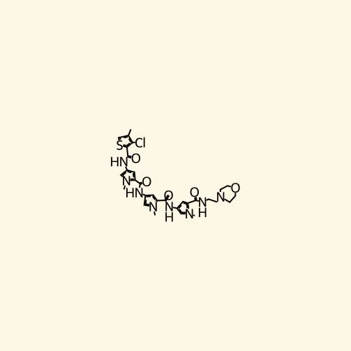 Cc1csc(C(=O)Nc2cc(C(=O)Nc3cc(C(=O)Nc4cc(C(=O)NCCN5CCOCC5)n(C)c4)n(C)c3)n(C)c2)c1Cl